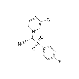 N#CC(N1C=C(Cl)N=CC1)S(=O)(=O)c1ccc(F)cc1